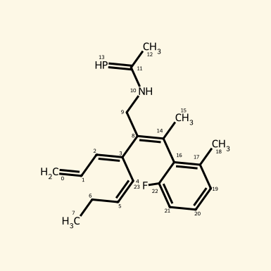 C=C/C=C(\C=C/CC)C(/CNC(C)=P)=C(/C)c1c(C)cccc1F